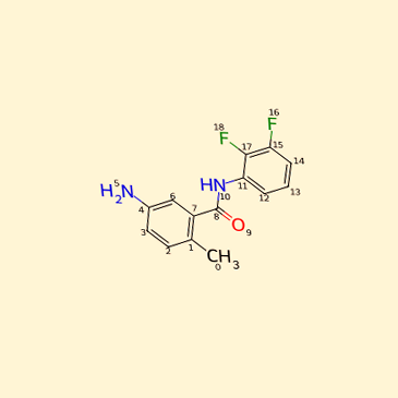 Cc1ccc(N)cc1C(=O)Nc1cccc(F)c1F